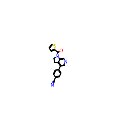 N#Cc1ccc(-c2cncc3c2CCN3C(=O)c2cccs2)cc1